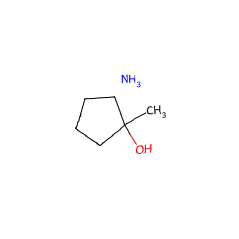 CC1(O)CCCC1.N